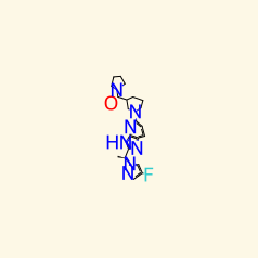 C[C@@H](c1nc2ccc(N3CCCC(C(=O)N4CCCC4)C3)nc2[nH]1)n1cc(F)cn1